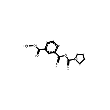 COC(=O)c1cccc(C(=O)OC(=O)N2CCCC2)c1